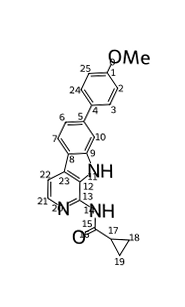 COc1ccc(-c2ccc3c(c2)[nH]c2c(NC(=O)C4CC4)nccc23)cc1